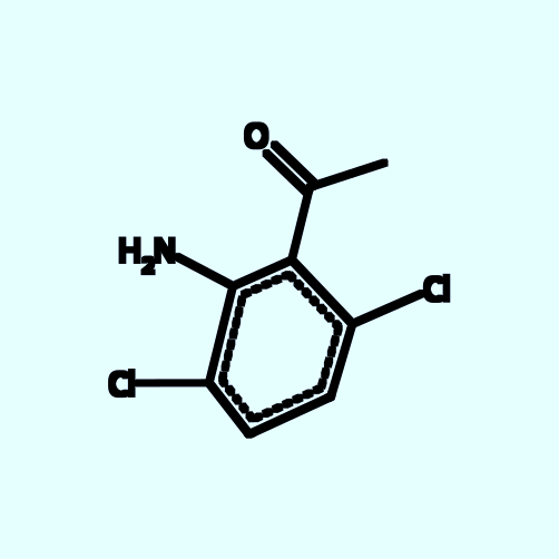 CC(=O)c1c(Cl)ccc(Cl)c1N